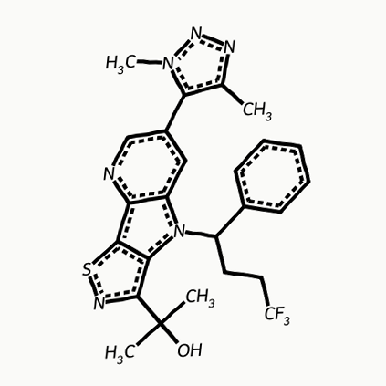 Cc1nnn(C)c1-c1cnc2c3snc(C(C)(C)O)c3n(C(CCC(F)(F)F)c3ccccc3)c2c1